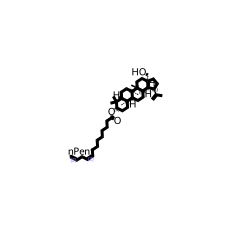 C=C(C)[C@@H]1CC[C@]2(CO)CC[C@]3(C)[C@H](CC[C@@H]4[C@@]5(C)CC[C@H](OC(=O)CCCCCCC/C=C\C/C=C\CCCCC)C(C)(C)[C@@H]5CC[C@]43C)[C@@H]12